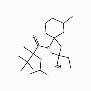 CCC(C)(O)CC1(OC(=O)C(C)(CC(C)C)C(C)(C)C)CCCC(C)C1